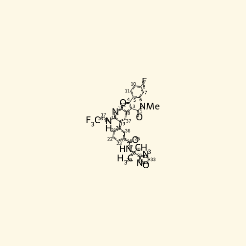 CNC(=O)c1c(-c2ccc(F)cc2)oc2nc(NCC(F)(F)F)c(-c3cccc(C(=O)NC(C)(C)c4ncon4)c3)cc12